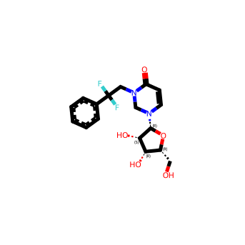 O=C1C=CN([C@@H]2O[C@H](CO)[C@H](O)[C@@H]2O)CN1CC(F)(F)c1ccccc1